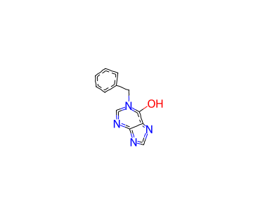 Oc1c2ncnc-2ncn1Cc1ccccc1